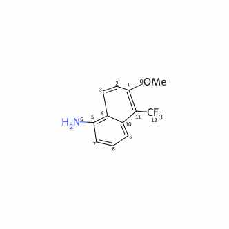 COc1ccc2c(N)cccc2c1C(F)(F)F